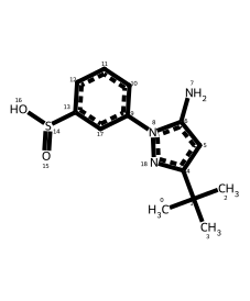 CC(C)(C)c1cc(N)n(-c2cccc(S(=O)O)c2)n1